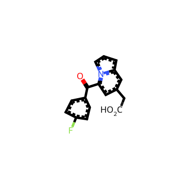 O=C(O)Cc1cc(C(=O)c2ccc(F)cc2)n2cccc2c1